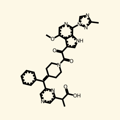 COc1cnc(-n2cnc(C)n2)c2[nH]cc(C(=O)C(=O)N3CCC(=C(c4ccccc4)c4cncc(C(C)C(=O)O)n4)CC3)c12